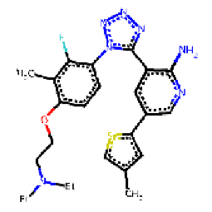 CCN(CC)CCOc1ccc(-n2nnnc2-c2cc(-c3cc(C)cs3)cnc2N)c(F)c1C